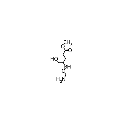 COC(=O)CCC(BOCN)CO